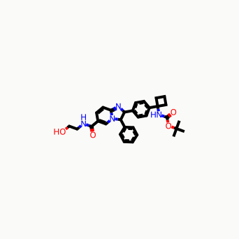 CC(C)(C)OC(=O)NC1(c2ccc(C3N=C4C=CC(C(=O)NCCO)=CN4C3c3ccccc3)cc2)CCC1